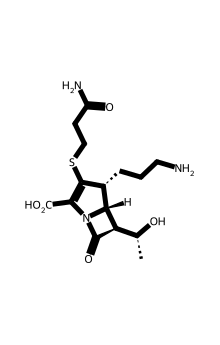 C[C@@H](O)[C@H]1C(=O)N2C(C(=O)O)=C(SCCC(N)=O)[C@H](CCCN)[C@H]12